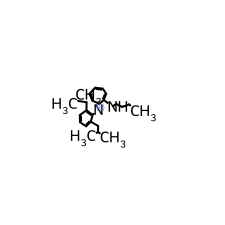 CCCCNc1ccccc/c1=N\c1c(CC(C)C)cccc1CC(C)C